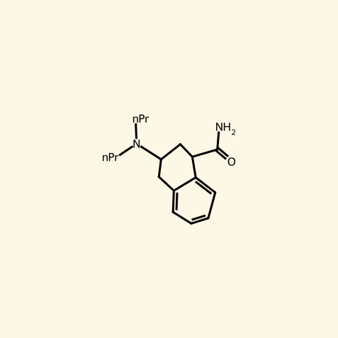 CCCN(CCC)C1Cc2ccccc2C(C(N)=O)C1